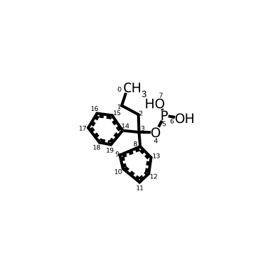 CCCC(OP(O)O)(c1ccccc1)c1ccccc1